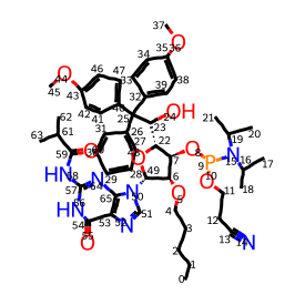 CCCCCO[C@@H]1[C@H](OP(OCCC#N)N(C(C)C)C(C)C)[C@@H](C(O)C(c2ccccc2)(c2ccc(OC)cc2)c2ccc(OC)cc2)O[C@H]1n1cnc2c(=O)[nH]c(NC(=O)C(C)C)nc21